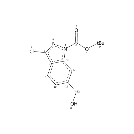 CC(C)(C)OC(=O)n1nc(Cl)c2ccc(CO)cc21